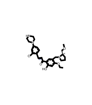 CCOc1cc(O)c(C(=O)/C=C/c2ccc(N3CCNCC3)cc2Cl)cc1CN1CCC[C@@H]1COC